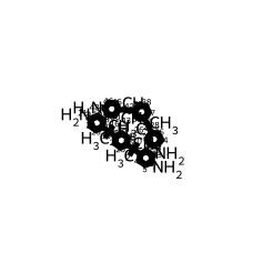 CC(C)(c1ccc(N)cc1)c1ccc(C(C)(C)c2ccc(N)cc2)cc1.CC(C)(c1ccc(N)cc1)c1cccc(C(C)(C)c2ccc(N)cc2)c1